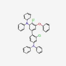 Clc1cc(N(c2ccccc2)c2ccccc2)ccc1-c1cc(Oc2ccccc2)c(Cl)c(N(c2ccccc2)c2ccccc2)c1